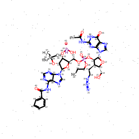 CC(C)C(=O)Nc1nc2c(ncn2[C@@H]2O[C@H](CO)[C@@H](CCN=[N+]=[N-])[C@H]2OP(=O)(OCCC#N)OC[C@H]2O[C@@H](n3cnc4c(NC(=O)c5ccccc5)ncnc43)[C@H](O[Si](C)(C)C(C)(C)C)[C@@H]2O[PH](=O)O)c(=O)[nH]1